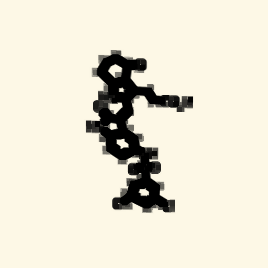 O=C(O)CCc1c(C=C2C(=O)Nc3ccc(NS(=O)(=O)c4cc(Cl)cc(Cl)c4)cc32)[nH]c2c1C(=O)CCC2